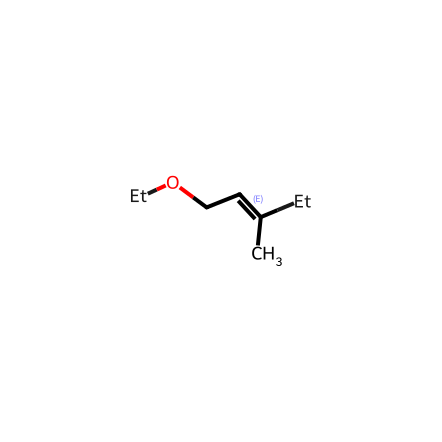 CCOC/C=C(\C)CC